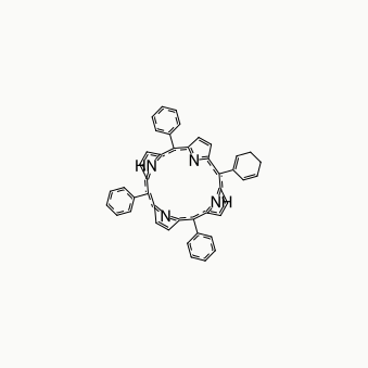 C1=CC(c2c3nc(c(-c4ccccc4)c4ccc([nH]4)c(-c4ccccc4)c4nc(c(-c5ccccc5)c5ccc2[nH]5)C=C4)C=C3)=CCC1